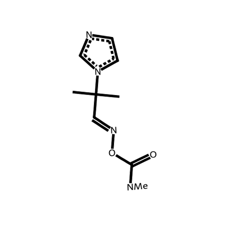 CNC(=O)ON=CC(C)(C)n1ccnc1